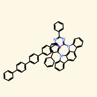 C1=CCC(c2ccccc2-n2c3ccccc3c3ccc4c5ccccc5n(-c5nc(-c6ccccc6)nc(-c6ccc(-c7ccc(-c8ccc(-c9ccccc9)cc8)cc7)cc6)n5)c4c32)C=C1